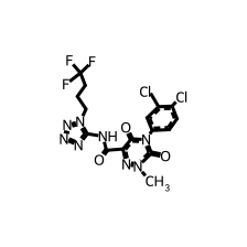 Cn1nc(C(=O)Nc2nnnn2CCCC(F)(F)F)c(=O)n(-c2ccc(Cl)c(Cl)c2)c1=O